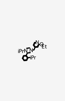 CCOc1cc(CN2CCN(C(C)C)C(c3ccccc3C(C)C)C2)ccn1